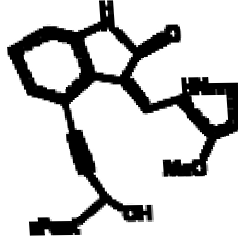 CCCCCC(O)C#Cc1cccc2c1C(=Cc1[nH]ccc1OC)C(=O)N2